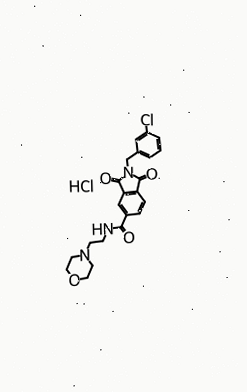 Cl.O=C(NCCN1CCOCC1)c1ccc2c(c1)C(=O)N(Cc1cccc(Cl)c1)C2=O